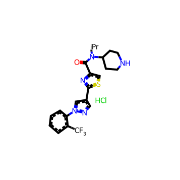 CC(C)N(C(=O)c1csc(-c2cnn(-c3ccccc3C(F)(F)F)c2)n1)C1CCNCC1.Cl